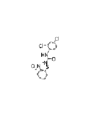 CN(Sc1ccccc1[N+](=O)[O-])C(=O)Nc1ccc(Cl)cc1Cl